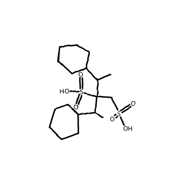 CC(C1CCCCC1)C(CS(=O)(=O)O)(C(C)C1CCCCC1)S(=O)(=O)O